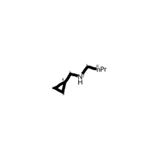 [CH2]CCCNCC1CC1